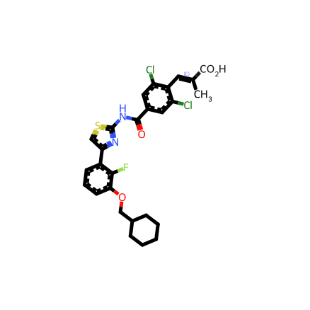 C/C(=C\c1c(Cl)cc(C(=O)Nc2nc(-c3cccc(OCC4CCCCC4)c3F)cs2)cc1Cl)C(=O)O